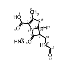 CC1=C(C(=O)O)N2C(=O)C(CNC=O)[C@H]2S1.[NaH]